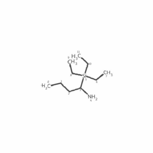 [CH2]CCC(N)[Si](CC)(CC)CC